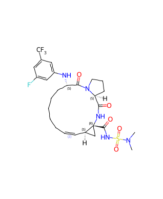 CN(C)S(=O)(=O)NC(=O)[C@@]12C[C@H]1/C=C\CCCCC[C@H](Nc1cc(F)cc(C(F)(F)F)c1)C(=O)N1CCC[C@H]1C(=O)N2